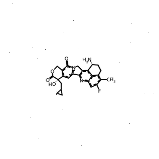 Cc1c(F)cc2nc3c(c4c2c1CC[C@H]4N)Cn1c-3cc2c(c1=O)COC(=O)[C@]2(O)CC1CC1